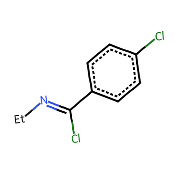 CC/N=C(\Cl)c1ccc(Cl)cc1